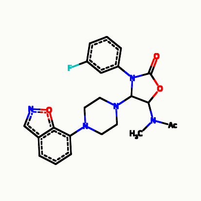 CC(=O)N(C)C1OC(=O)N(c2cccc(F)c2)C1N1CCN(c2cccc3cnoc23)CC1